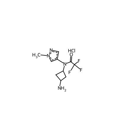 Cl.Cn1cc(N(C(=O)C(F)(F)F)C2CC(N)C2)cn1